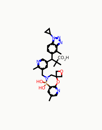 Cc1cnc2c(c1)S(O)(O)N(Cc1cc(C(c3ccc4c(nnn4C4CC4)c3C)C(C)(C)C(=O)O)cnc1C)CC1(COC1)O2